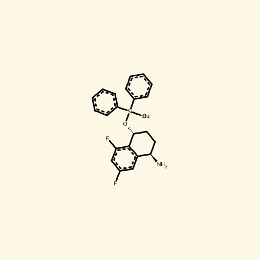 CC(C)(C)[Si](O[C@@H]1CC[C@@H](N)c2cc(F)cc(F)c21)(c1ccccc1)c1ccccc1